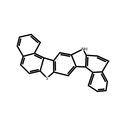 c1ccc2c(c1)ccc1[nH]c3cc4c(cc3c12)sc1ccc2ccccc2c14